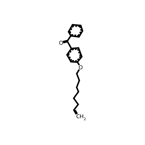 C=CCCCCCCOc1ccc(C(=O)c2ccccc2)cc1